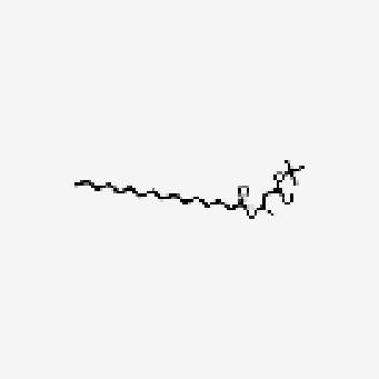 CCCCCCCCCCCCCCCC(=O)O[C@H](C)CC(=O)OC(C)(C)C